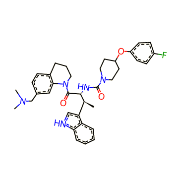 C[C@@H](c1c[nH]c2ccccc12)[C@@H](NC(=O)N1CCC(Oc2ccc(F)cc2)CC1)C(=O)N1CCCc2ccc(CN(C)C)cc21